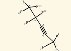 [O]C(F)(F)C#CC(F)(F)C(F)(F)F